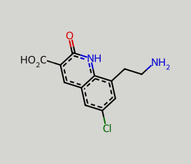 NCCc1cc(Cl)cc2cc(C(=O)O)c(=O)[nH]c12